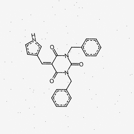 O=C1C(=Cc2cc[nH]c2)C(=O)N(Cc2ccccc2)C(=O)N1Cc1ccccc1